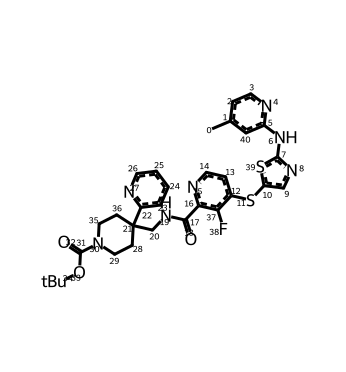 Cc1ccnc(Nc2ncc(Sc3ccnc(C(=O)NCC4(c5ccccn5)CCN(C(=O)OC(C)(C)C)CC4)c3F)s2)c1